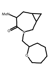 CNC1CC2CC2CN(CC2CCCCCO2)C1=O